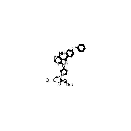 CC(C)(C)OC(=O)N(CC=O)N1CCC(n2nc(-c3ccc(Oc4ccccc4)cc3)c3c(N)ncnc32)C1